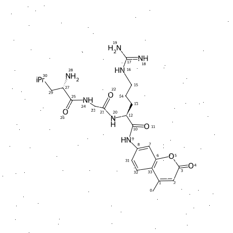 Cc1cc(=O)oc2cc(NC(=O)[C@H](CCCNC(=N)N)NC(=O)CNC(=O)[C@@H](N)CC(C)C)ccc12